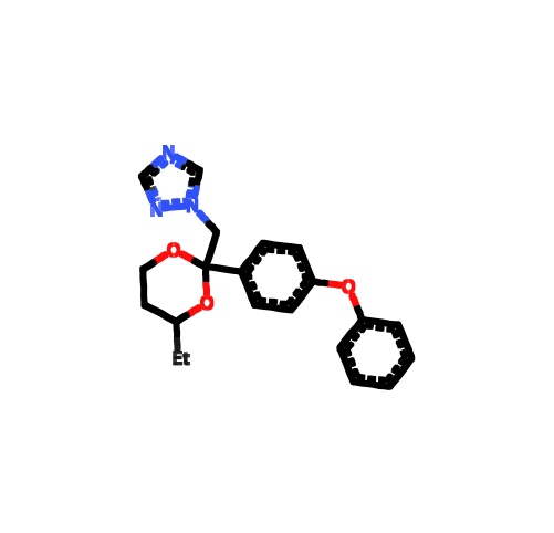 CCC1CCOC(Cn2cncn2)(c2ccc(Oc3ccccc3)cc2)O1